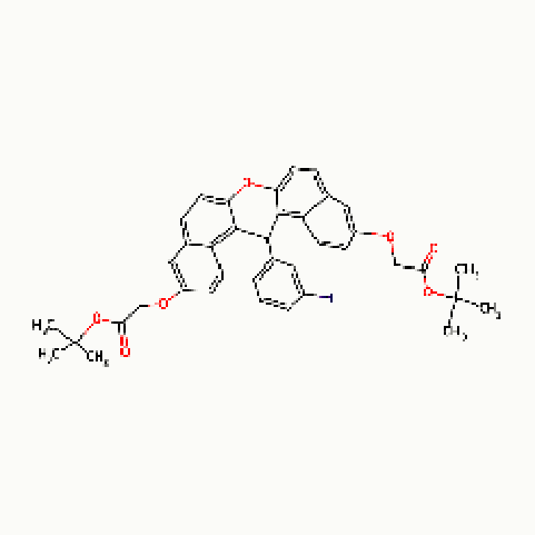 CC(C)(C)OC(=O)COc1ccc2c3c(ccc2c1)Oc1ccc2cc(OCC(=O)OC(C)(C)C)ccc2c1C3c1cccc(I)c1